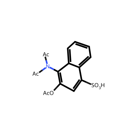 CC(=O)Oc1cc(S(=O)(=O)O)c2ccccc2c1N(C(C)=O)C(C)=O